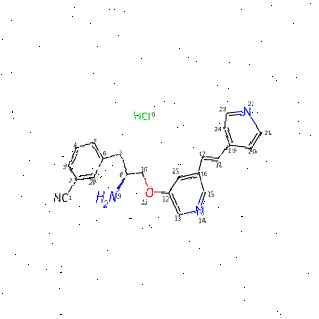 Cl.N#Cc1cccc(C[C@H](N)COc2cncc(C=Cc3ccncc3)c2)c1